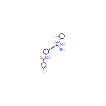 Nc1[nH]c(-c2c(F)cccc2Cl)nc1C#Cc1cccc(NC(=O)c2ccc(Cl)cc2)c1